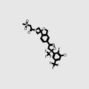 CS(=O)(=O)CC(=O)N1CC2(C1)OCc1cc(C3=NO[C@@](c4cc(C(F)(F)F)cc(Cl)c4F)(C(F)(F)F)C3)ccc12